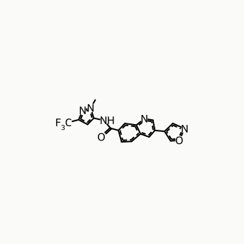 Cn1nc(C(F)(F)F)cc1NC(=O)c1ccc2cc(-c3cnoc3)cnc2c1